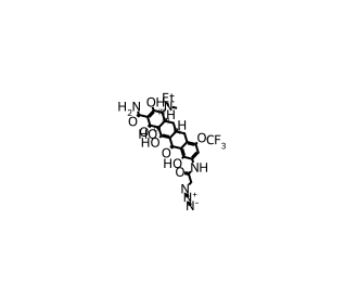 CCN(C)[C@@H]1C(O)=C(C(N)=O)C(=O)[C@@]2(O)C(O)=C3C(=O)c4c(O)c(NC(=O)CN=[N+]=[N-])cc(OC(F)(F)F)c4C[C@H]3C[C@@H]12